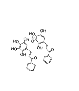 O=C(C=Cc1cc(O)c(O)c(O)c1O)c1ccccc1.O=C(C=Cc1cc(O)c(O)c(O)c1O)c1ccccc1